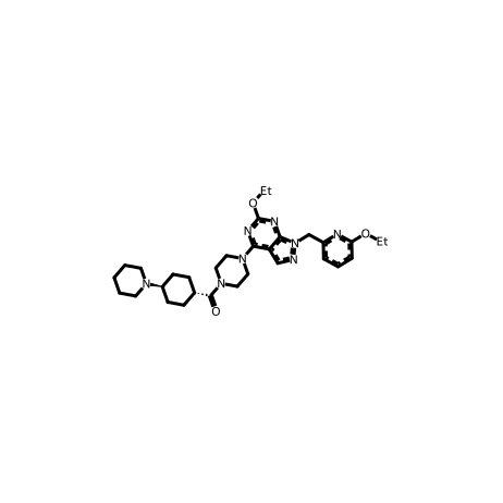 CCOc1cccc(Cn2ncc3c(N4CCN(C(=O)[C@H]5CC[C@H](N6CCCCC6)CC5)CC4)nc(OCC)nc32)n1